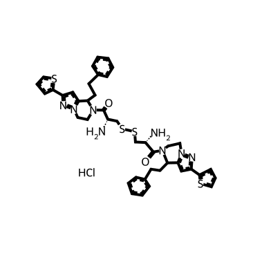 Cl.N[C@@H](CSSC[C@H](N)C(=O)N1CCn2nc(-c3cccs3)cc2C1CCc1ccccc1)C(=O)N1CCn2nc(-c3cccs3)cc2C1CCc1ccccc1